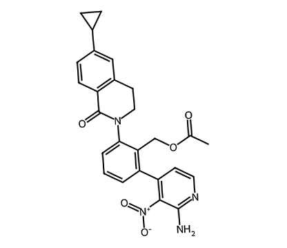 CC(=O)OCc1c(-c2ccnc(N)c2[N+](=O)[O-])cccc1N1CCc2cc(C3CC3)ccc2C1=O